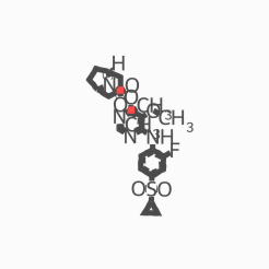 COc1c(Nc2ccc(S(=O)(=O)C3CC3)cc2F)ncnc1O[C@H]1CC2CC[C@@H](C1)N2C(=O)OC(C)C